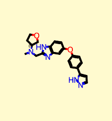 CN(Cc1nc2cc(Oc3ccc(-c4ccn[nH]4)cc3)ccc2[nH]1)[C@H]1CCOC1